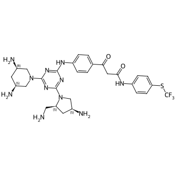 NC[C@@H]1C[C@H](N)CN1c1nc(Nc2ccc(C(=O)CC(=O)Nc3ccc(SC(F)(F)F)cc3)cc2)nc(N2C[C@H](N)C[C@H](N)C2)n1